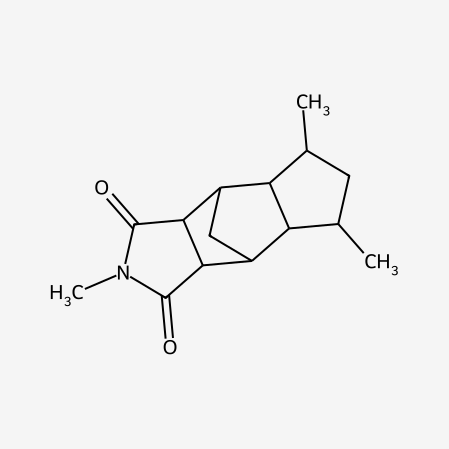 CC1CC(C)C2C3CC(C4C(=O)N(C)C(=O)C34)C12